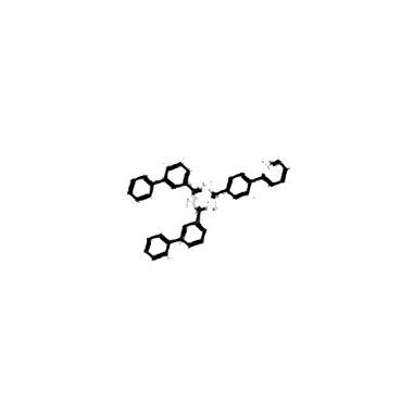 c1ccc(-c2cccc(-c3nc(-c4ccc(-c5ccccn5)cc4)nc(-c4cccc(-c5ccccc5)c4)n3)c2)cc1